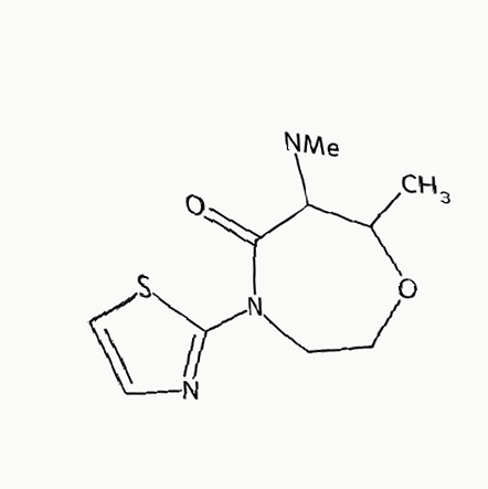 CNC1C(=O)N(c2nccs2)CCOC1C